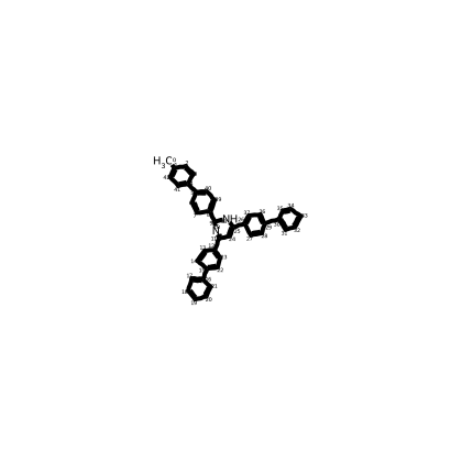 Cc1ccc(-c2ccc(C3N=C(c4ccc(-c5ccccc5)cc4)C=C(c4ccc(-c5ccccc5)cc4)N3)cc2)cc1